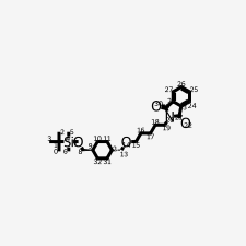 CC(C)(C)[Si](C)(C)OC[C@H]1CC[C@H](COCCCCCN2C(=O)c3ccccc3C2=O)CC1